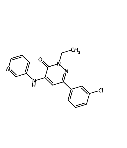 CCn1nc(-c2cccc(Cl)c2)cc(Nc2cccnc2)c1=O